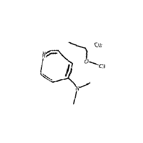 CCOCl.CN(C)c1ccncc1.[Cu]